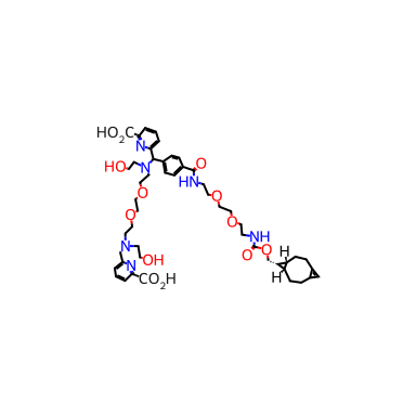 O=C(NCCOCCOCCNC(=O)c1ccc(C(c2cccc(C(=O)O)n2)N(CCO)CCOCCOCCN(CCO)Cc2cccc(C(=O)O)n2)cc1)OC[C@@H]1[C@@H]2CCC3=CC3CC[C@@H]21